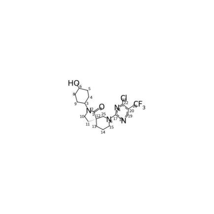 O=C1N(C2CCC(O)CC2)CC[C@]12CCCN(c1ncc(C(F)(F)F)c(Cl)n1)C2